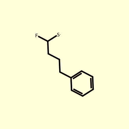 FC([S])CCCc1ccccc1